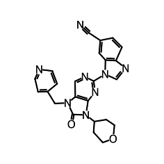 N#Cc1ccc2ncn(-c3ncc4c(n3)n(C3CCOCC3)c(=O)n4Cc3ccncc3)c2c1